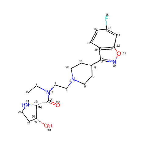 CCN(CCN1CCC(c2noc3cc(F)ccc23)CC1)C(=O)[C@H]1NCC[C@H]1O